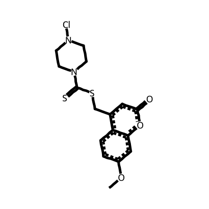 COc1ccc2c(CSC(=S)N3CCN(Cl)CC3)cc(=O)oc2c1